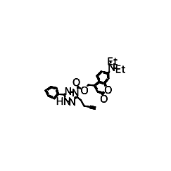 C#CCCC1=NNC(c2ccccc2)=NN1C(=O)OCc1cc(=O)oc2cc(N(CC)CC)ccc12